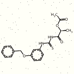 CC(=O)O[C@@H](C)C(=O)NC(=S)Nc1cccc(OCc2ccccc2)c1